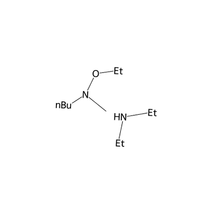 CCCCN(C)OCC.CCNCC